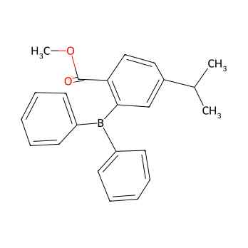 COC(=O)c1ccc(C(C)C)cc1B(c1ccccc1)c1ccccc1